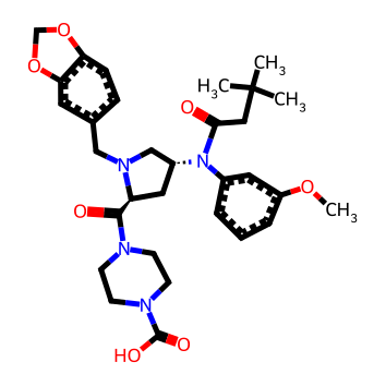 COc1cccc(N(C(=O)CC(C)(C)C)[C@@H]2C[C@@H](C(=O)N3CCN(C(=O)O)CC3)N(Cc3ccc4c(c3)OCO4)C2)c1